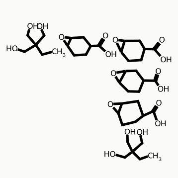 CCC(CO)(CO)CO.CCC(CO)(CO)CO.O=C(O)C1CCC2OC2C1.O=C(O)C1CCC2OC2C1.O=C(O)C1CCC2OC2C1.O=C(O)C1CCC2OC2C1